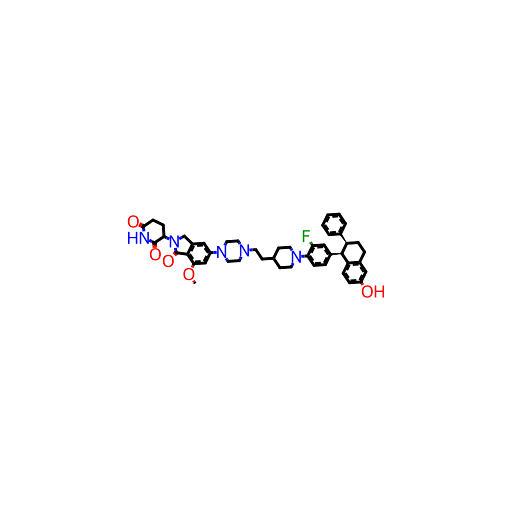 COc1cc(N2CCN(CCC3CCN(c4ccc([C@@H]5c6ccc(O)cc6CC[C@@H]5c5ccccc5)cc4F)CC3)CC2)cc2c1C(=O)N(C1CCC(=O)NC1=O)C2